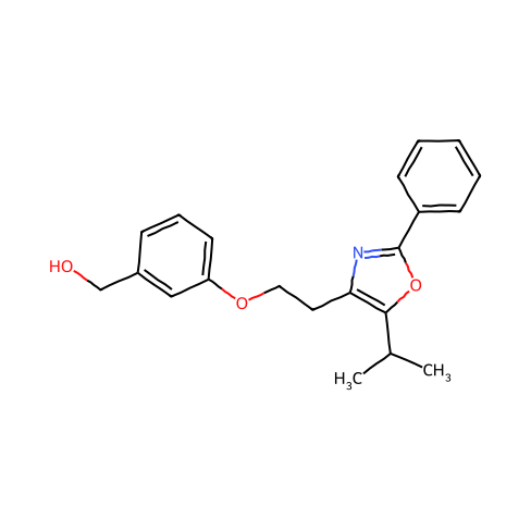 CC(C)c1oc(-c2ccccc2)nc1CCOc1cccc(CO)c1